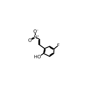 O=[N+]([O-])C=Cc1cc(F)ccc1O